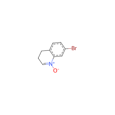 [O-][N+]1=CCCc2ccc(Br)cc21